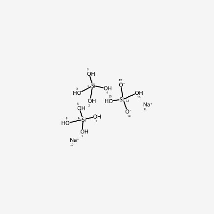 O[Si](O)(O)O.O[Si](O)(O)O.[Na+].[Na+].[O-][Si]([O-])(O)O